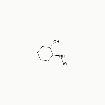 CC(C)N[C@H]1CCCC[C@@H]1O